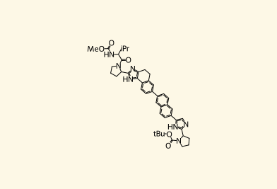 COC(=O)NC(C(=O)N1CCCC1c1nc2c([nH]1)-c1ccc(-c3ccc4cc(-c5cnc(C6CCCN6C(=O)OC(C)(C)C)[nH]5)ccc4c3)cc1CC2)C(C)C